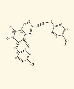 COc1ccc(CC#Cc2ccc3c(c2)C(=O)/C(=C\c2ccc(Cl)cc2)[S+]([O-])N3C)cn1